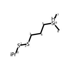 CC(C)SSCCC[SiH](C)C